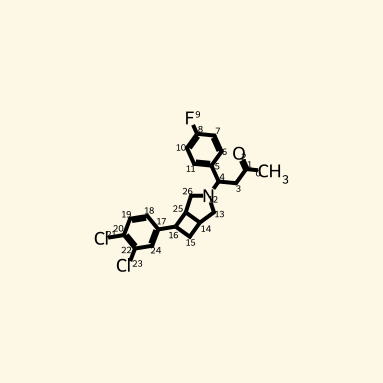 CC(=O)CC(c1ccc(F)cc1)N1CC2CC(c3ccc(Cl)c(Cl)c3)C2C1